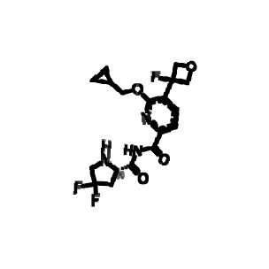 O=C(NC(=O)[C@@H]1CC(F)(F)CN1)c1ccc(C2(F)COC2)c(OCC2CC2)n1